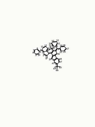 CC1=Cc2c(-c3ccccc3)cccc2C1c1c(C(C)(C)C)c(=C(c2ccccc2)c2ccccc2)cc2c1=[C]c1cc(C(C)(C)C)ccc1-2